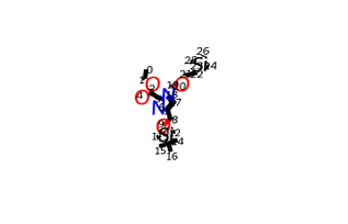 CCOC(=O)c1nc(CO[Si](C)(C)C(C)(C)C)cn1COCC[Si](C)(C)C